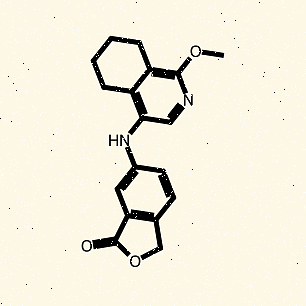 COc1ncc(Nc2ccc3c(c2)C(=O)OC3)c2c1CCCC2